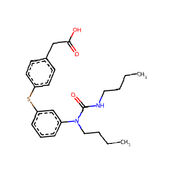 CCCCNC(=O)N(CCCC)c1cccc(Sc2ccc(CC(=O)O)cc2)c1